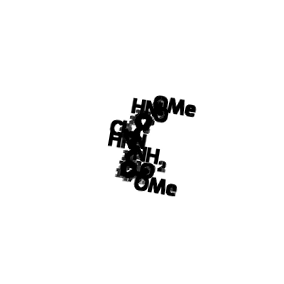 COC(=O)Nc1ccc(-c2nc(C(N)Cc3cccc(C(=O)OC)c3)[nH]c2Cl)cc1